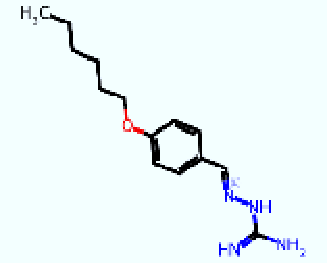 CCCCCCOc1ccc(/C=N/NC(=N)N)cc1